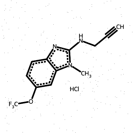 C#CCNc1nc2ccc(OC(F)(F)F)cc2n1C.Cl